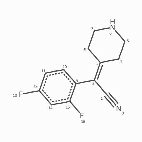 N#CC(=C1CCNCC1)c1ccc(F)cc1F